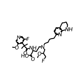 COc1cncc(F)c1C(C)(C)C(=O)NC(CCN(CCCCc1ccc2c(n1)NCCC2)CC(CF)OC)C(=O)O